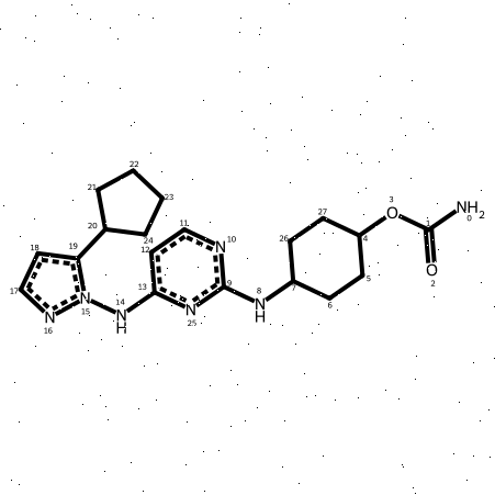 NC(=O)OC1CCC(Nc2nccc(Nn3nccc3C3CCCC3)n2)CC1